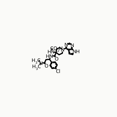 CN(C)C(=O)CC(NC(=O)C1(NC(=O)O)CCN(c2ncnc3[nH]ccc23)CC1)c1ccc(Cl)cc1